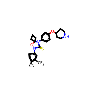 N#Cc1ccc(N2OC3(CCC3)N(c3ccc(OC4CCNCC4)cc3)C2=S)cc1C(F)(F)F